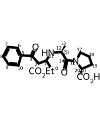 CCOC(=O)C(CC(=O)c1ccccc1)N[C@@H](C)C(=O)N1CCC[C@H]1C(=O)O